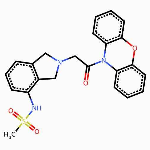 CS(=O)(=O)Nc1cccc2c1CN(CC(=O)N1c3ccccc3Oc3ccccc31)C2